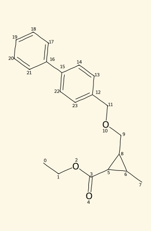 CCOC(=O)C1C(C)C1COCc1ccc(-c2ccccc2)cc1